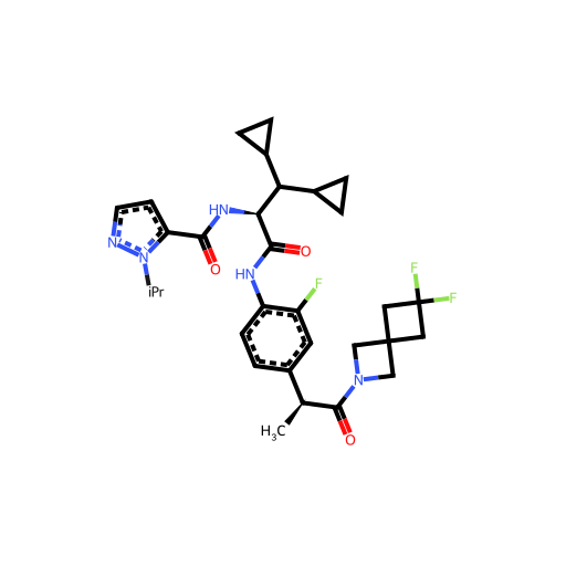 CC(C)n1nccc1C(=O)N[C@H](C(=O)Nc1ccc([C@H](C)C(=O)N2CC3(C2)CC(F)(F)C3)cc1F)C(C1CC1)C1CC1